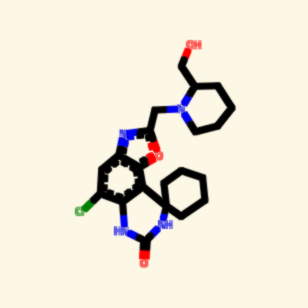 O=C1Nc2c(Cl)cc3nc(CN4CCCCC4CO)oc3c2C2(CCCCC2)N1